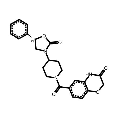 O=C1COc2ccc(C(=O)N3CCC(N4C[C@H](c5ccccc5)OC4=O)CC3)cc2N1